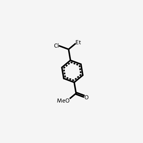 CCC(Cl)c1ccc(C(=O)OC)cc1